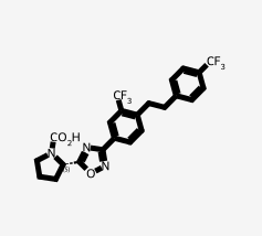 O=C(O)N1CCC[C@H]1c1nc(-c2ccc(CCc3ccc(C(F)(F)F)cc3)c(C(F)(F)F)c2)no1